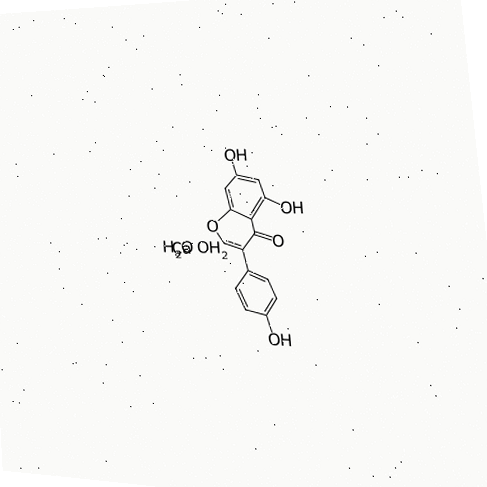 O.O.O=c1c(-c2ccc(O)cc2)coc2cc(O)cc(O)c12.[Ca]